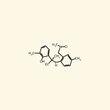 CCC(C)(Pc1ccc(C)cc1CN(C)Cl)c1cccc(C)c1O